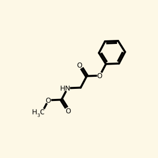 COC(=O)NCC(=O)Oc1ccccc1